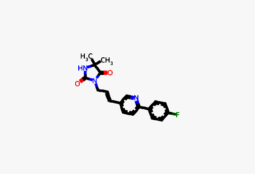 CC1(C)NC(=O)N(CC=Cc2ccc(-c3ccc(F)cc3)nc2)C1=O